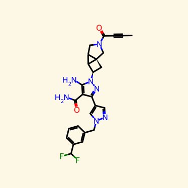 CC#CC(=O)N1CC2C3[C@H](n4nc(-c5cnn(Cc6cccc(C(F)F)c6)c5)c(C(N)=O)c4N)C[C@]23C1